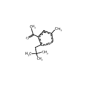 CC(=O)c1cc(C)cnc1CC(C)(C)C